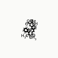 COC(=O)C1Cc2cc(C=CC(=O)N(C)C(C)c3c[nH]c4ccccc34)cnc2NC1=O